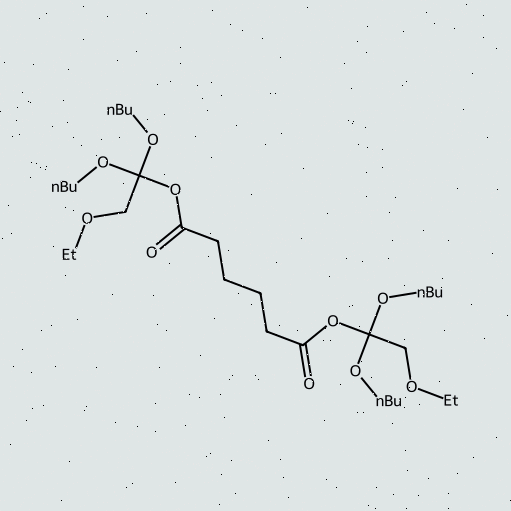 CCCCOC(COCC)(OCCCC)OC(=O)CCCCC(=O)OC(COCC)(OCCCC)OCCCC